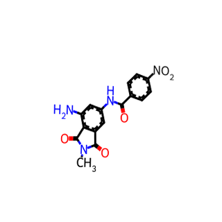 CN1C(=O)c2cc(NC(=O)c3ccc([N+](=O)[O-])cc3)cc(N)c2C1=O